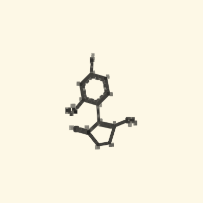 CC1=C(c2ccc(F)cc2N)C(=O)CC1